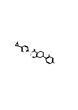 Cc1ccc(C2CCc3c(cnn(-c4ccc(C5CC5)cn4)c3=O)C2)c(C)c1